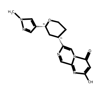 Cc1cc(=O)n2cc([C@H]3CCO[C@@H](c4cnn(C)c4)C3)ncc2n1